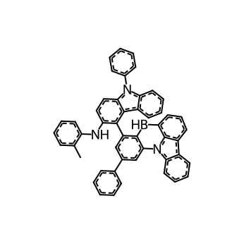 Cc1ccccc1Nc1ccc2c(c1-c1cc(-c3ccccc3)cc3c1Bc1cccc4c5ccccc5n-3c14)c1ccccc1n2-c1ccccc1